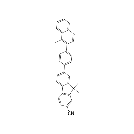 Cc1c(-c2ccc(-c3ccc4c(c3)C(C)(C)c3cc(C#N)ccc3-4)cc2)ccc2ccccc12